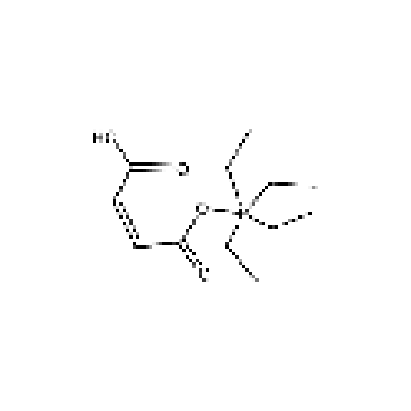 CCP(CC)(CC)(CC)OC(=O)/C=C\C(=O)O